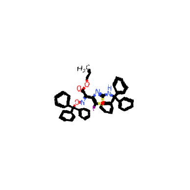 C=CCOC(=O)/C(=N\OC(c1ccccc1)(c1ccccc1)c1ccccc1)c1nc(NC(c2ccccc2)(c2ccccc2)c2ccccc2)sc1I